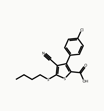 CCCCSc1sc(C(=O)O)c(-c2ccc(Cl)cc2)c1C#N